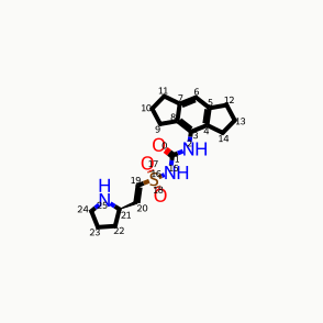 O=C(Nc1c2c(cc3c1CCC3)CCC2)NS(=O)(=O)/C=C/[C@H]1CCCN1